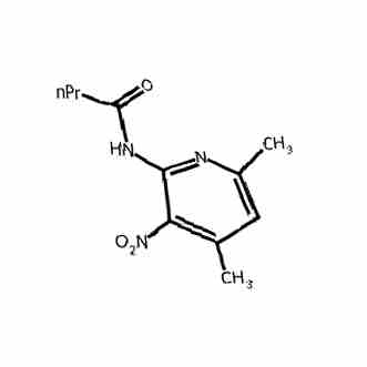 CCCC(=O)Nc1nc(C)cc(C)c1[N+](=O)[O-]